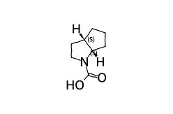 O=C(O)N1CC[C@@H]2CCC[C@@H]21